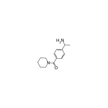 CC(N)c1ccc(C(=O)N2CCCCC2)cc1